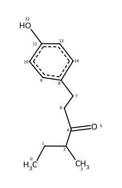 CCC(C)C(=O)CCc1ccc(O)cc1